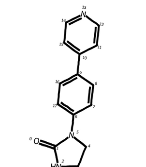 O=C1NCCN1c1ccc(-c2ccncc2)cc1